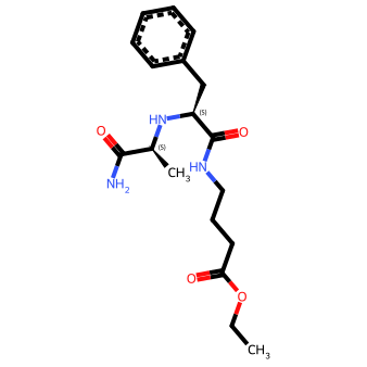 CCOC(=O)CCCNC(=O)[C@H](Cc1ccccc1)N[C@@H](C)C(N)=O